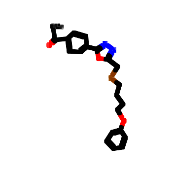 COC(=O)c1ccc(-c2nnc(CSCCCCOc3ccccc3)o2)cc1